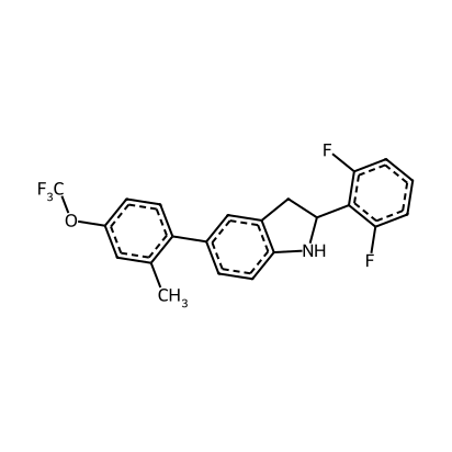 Cc1cc(OC(F)(F)F)ccc1-c1ccc2c(c1)CC(c1c(F)cccc1F)N2